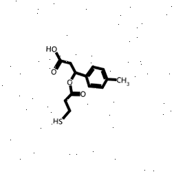 Cc1ccc(C(CC(=O)O)OC(=O)CCS)cc1